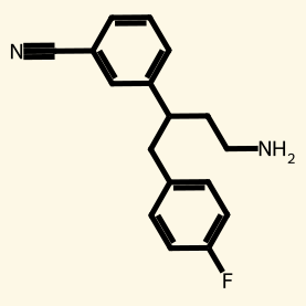 N#Cc1cccc(C(CCN)Cc2ccc(F)cc2)c1